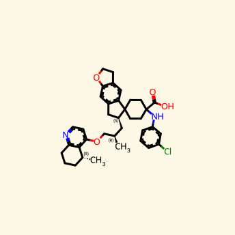 C[C@@H](COc1ccnc2c1[C@H](C)CCC2)C[C@H]1Cc2cc3c(cc2C12CCC(Nc1cccc(Cl)c1)(C(=O)O)CC2)CCO3